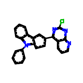 Clc1nc(-c2ccc3c(c2)c2ccccc2n3-c2ccccc2)c2cccnc2n1